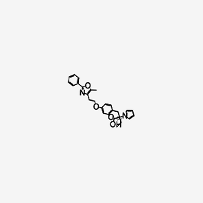 CC[C@](Cc1ccc(OCCc2nc(-c3ccccc3)oc2C)cc1)(C(=O)O)n1cccc1